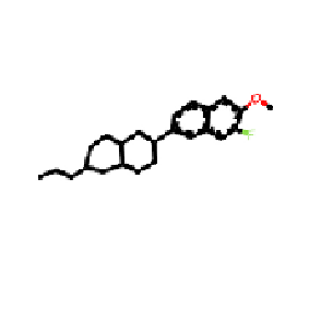 CCCC1CCC2CC(c3ccc4cc(OC)c(F)cc4c3)CCC2C1